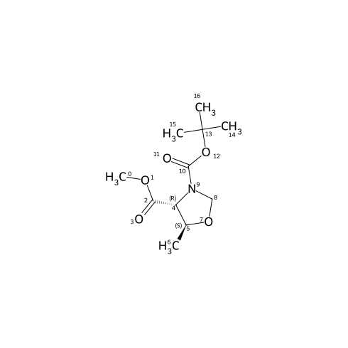 COC(=O)[C@H]1[C@H](C)OCN1C(=O)OC(C)(C)C